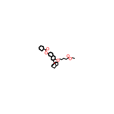 CCOC(=O)CCCCOc1cc2ccc(OC(=O)c3ccccc3)cc2cc1C12CC3CC(CC(C3)C1)C2